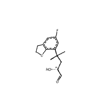 CC(C)(C[C@@H](O)C=O)c1cc(F)cc2c1OCC2